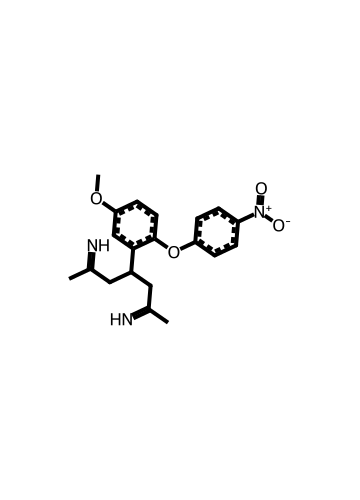 COc1ccc(Oc2ccc([N+](=O)[O-])cc2)c(C(CC(C)=N)CC(C)=N)c1